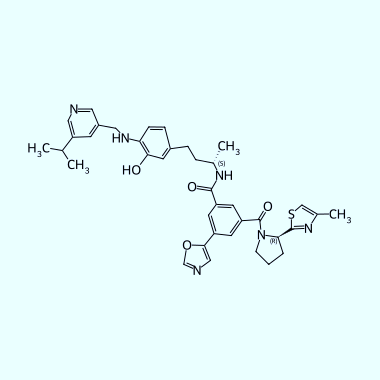 Cc1csc([C@H]2CCCN2C(=O)c2cc(C(=O)N[C@@H](C)CCc3ccc(NCc4cncc(C(C)C)c4)c(O)c3)cc(-c3cnco3)c2)n1